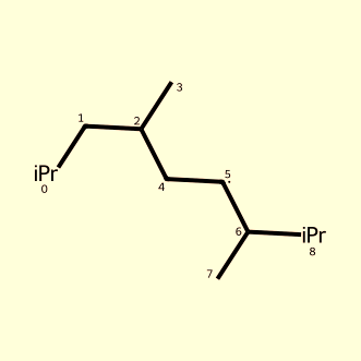 CC(C)CC(C)C[CH]C(C)C(C)C